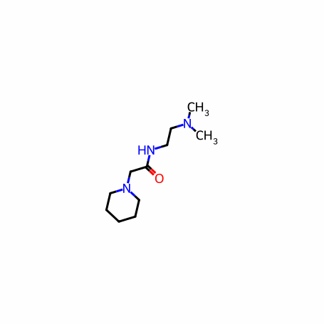 CN(C)CCNC(=O)CN1CCCCC1